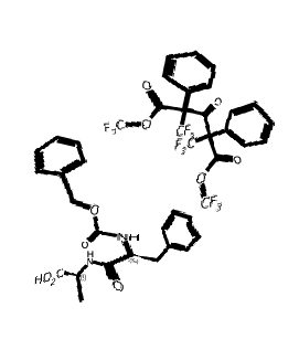 C[C@H](NC(=O)[C@H](Cc1ccccc1)NC(=O)OCc1ccccc1)C(=O)O.O=C(OC(F)(F)F)C(C(=O)C(C(=O)OC(F)(F)F)(c1ccccc1)C(F)(F)F)(c1ccccc1)C(F)(F)F